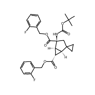 CC(C)(C)OC(=O)N[C@@]1(C(=O)OCc2ccccc2F)CC2(CC2)[C@H]2[C@H](C(=O)OCc3ccccc3F)[C@H]21